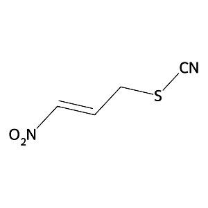 N#CSCC=C[N+](=O)[O-]